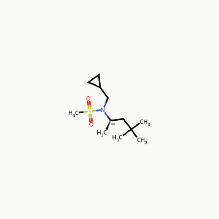 C[C@H](CC(C)(C)C)N(CC1CC1)S(C)(=O)=O